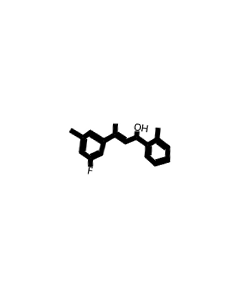 C/C(=C\C(O)c1ccccc1C)c1cc(C)cc(F)c1